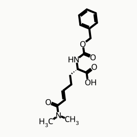 CN(C)C(=O)/C=C/CC[C@H](NC(=O)OCc1ccccc1)C(=O)O